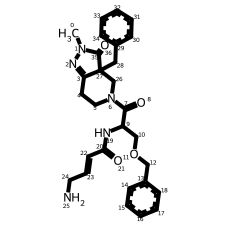 CN1N=C2CCN(C(=O)C(COCc3ccccc3)NC(=O)C=CCN)CC2(Cc2ccccc2)C1=O